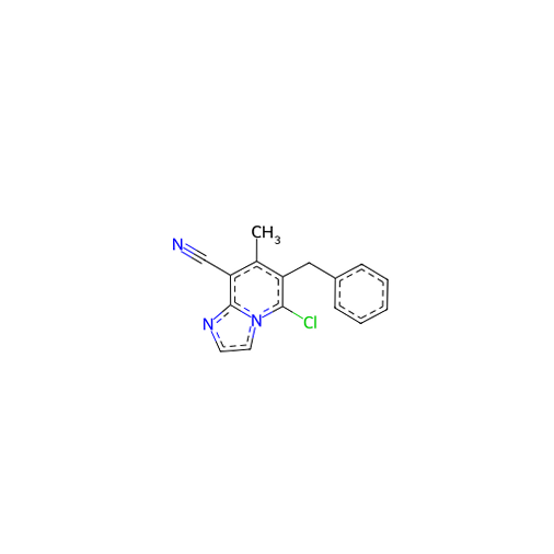 Cc1c(Cc2ccccc2)c(Cl)n2ccnc2c1C#N